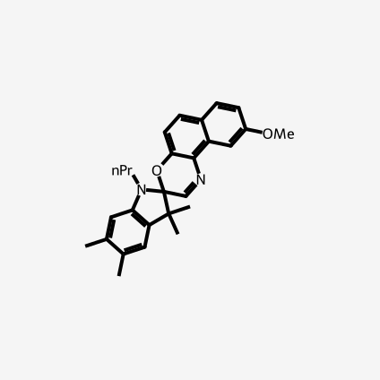 CCCN1c2cc(C)c(C)cc2C(C)(C)C12C=Nc1c(ccc3ccc(OC)cc13)O2